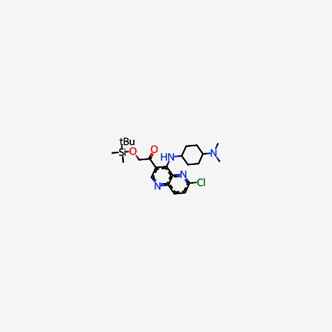 CN(C)C1CCC(Nc2c(C(=O)CO[Si](C)(C)C(C)(C)C)cnc3ccc(Cl)nc23)CC1